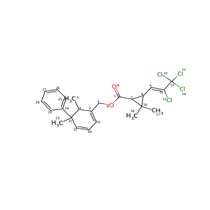 CC1C(COC(=O)C2C(C=C(Cl)C(Cl)(Cl)Cl)C2(C)C)=CC=CC1(C)c1ccccc1